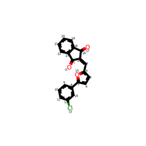 O=C1C(=Cc2ccc(-c3cccc(Cl)c3)o2)C(=O)c2ccccc21